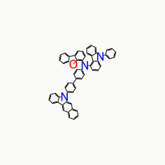 c1ccc(-n2c3ccccc3c3c(N(c4ccc(-c5ccc(-n6c7ccccc7c7cc8ccccc8cc76)cc5)cc4)c4cccc5c4oc4ccccc45)cccc32)cc1